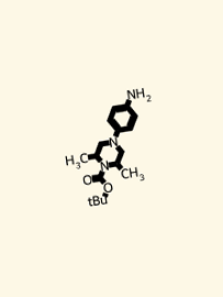 CC1CN(c2ccc(N)cc2)CC(C)N1C(=O)OC(C)(C)C